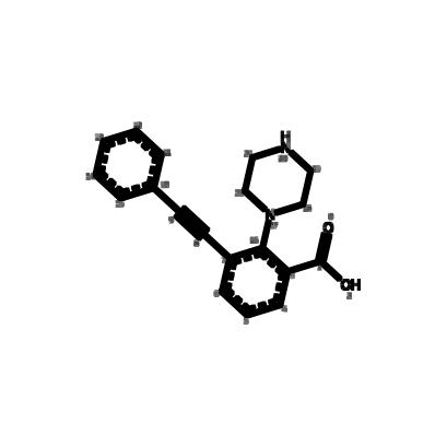 O=C(O)c1cccc(C#Cc2ccccc2)c1N1CCNCC1